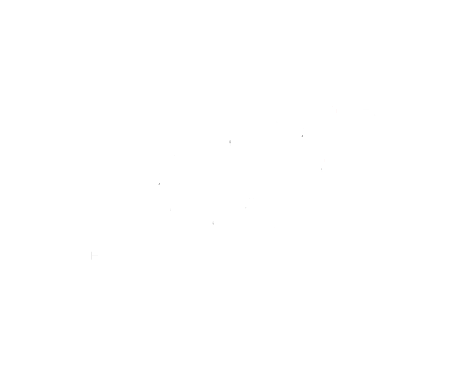 CCSc1ccc2c(c1)C(=O)CC(CC(=O)OC)C2